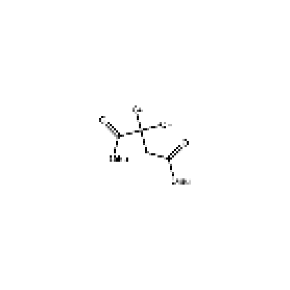 CC(=O)C(O)(CC(=O)OCC(C)C)C(=O)OCC(C)C